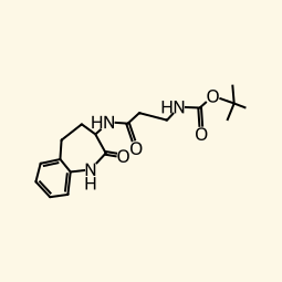 CC(C)(C)OC(=O)NCCC(=O)NC1CCc2ccccc2NC1=O